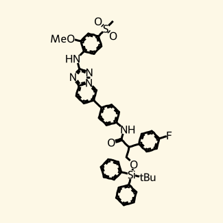 COc1cc(S(C)(=O)=O)ccc1Nc1nc2ccc(-c3ccc(NC(=O)C(CO[Si](c4ccccc4)(c4ccccc4)C(C)(C)C)c4ccc(F)cc4)cc3)cn2n1